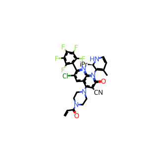 C=CC(=O)N1CCN(c2c(C#N)c(=O)n(C3=C(C)C=CN[C@@H]3C(C)C)c3nc(-c4c(F)c(F)c(F)c(F)c4F)c(Cl)cc23)CC1